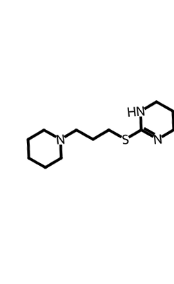 C1CCN(CCCSC2=NCCCN2)CC1